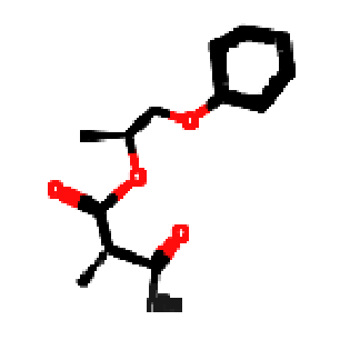 CCCCC(=O)[C@H](C)C(=O)O[C@@H](C)COc1ccccc1